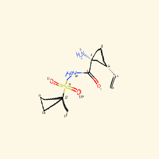 C=C[C@H]1C[C@]1(N)C(=O)NS(=O)(=O)C1(C)CC1